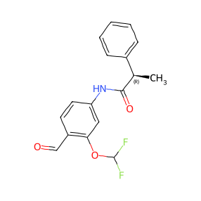 C[C@@H](C(=O)Nc1ccc(C=O)c(OC(F)F)c1)c1ccccc1